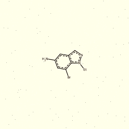 CCn1ncc2cc(N)cc(Br)c21